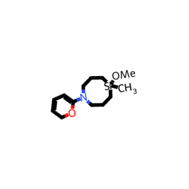 CO[Si]1(C)CCCN(C2=CC=CCO2)CCC1